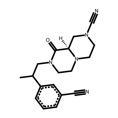 CC(CN1CCN2CCN(C#N)C[C@@H]2C1=O)c1cccc(C#N)c1